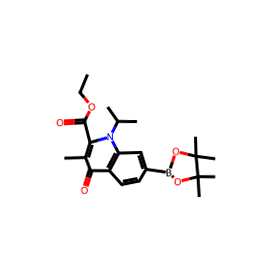 CCOC(=O)c1c(C)c(=O)c2ccc(B3OC(C)(C)C(C)(C)O3)cc2n1C(C)C